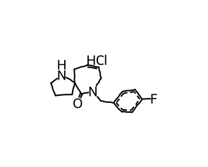 Cl.O=C1N(Cc2ccc(F)cc2)CC=CCC12CCCN2